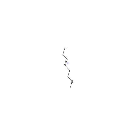 [CH2]C/C=C/CCSC